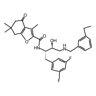 CCc1cccc(CNC[C@H](O)[C@H](Cc2cc(F)cc(F)c2)NC(=O)c2oc3c(c2C)C(=O)CC(C)(C)C3)c1